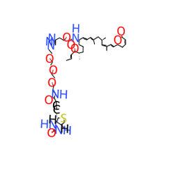 C/C=C/C1OC(C(/C=C/C=C(\C)C[C@@H](C)/C=C(C)\C=C\C2CC=CC(=O)O2)NC(=O)OCCc2cn(CCOCCOCCOCCNC(=O)CCCC[C@@H]3SC[C@@H]4NC(=O)N[C@@H]43)nn2)CC[C@@H]1C